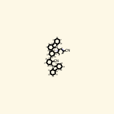 C/C(=C(\C=C(/C)C#N)n1c2ccccc2c2ccccc21)c1cccc(-c2cccc(-n3c4ccccc4c4ccccc43)c2C#N)c1